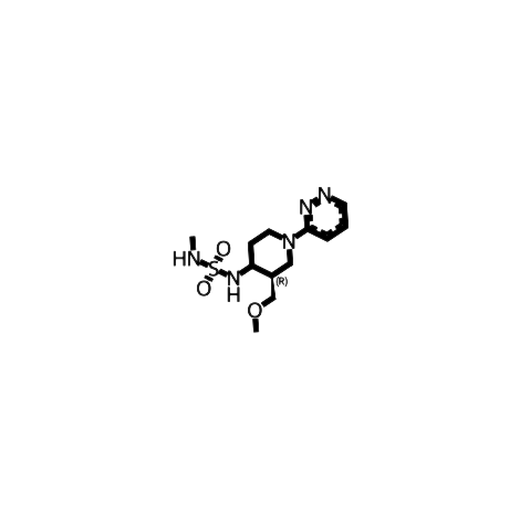 CNS(=O)(=O)NC1CCN(c2cccnn2)C[C@H]1COC